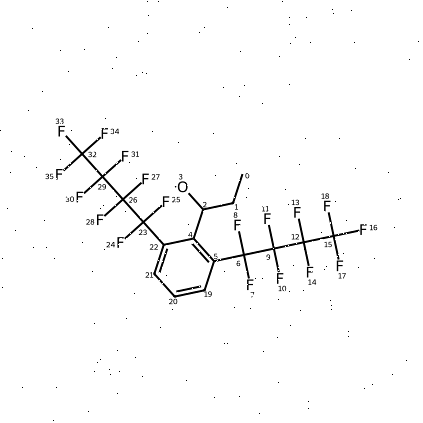 CCC([O])c1c(C(F)(F)C(F)(F)C(F)(F)C(F)(F)F)cccc1C(F)(F)C(F)(F)C(F)(F)C(F)(F)F